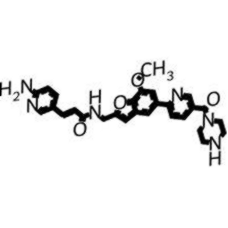 COc1cc(-c2ccc(C(=O)N3CCNCC3)cn2)cc2cc(CNC(=O)C=Cc3ccc(N)nc3)oc12